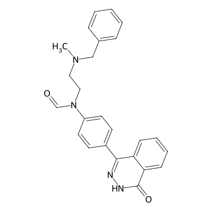 CN(CCN(C=O)c1ccc(-c2n[nH]c(=O)c3ccccc23)cc1)Cc1ccccc1